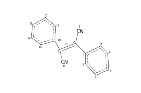 N#C/C(=C(/C#N)c1ccccc1)c1ccccc1